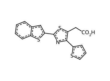 O=C(O)Cc1sc(-c2cc3ccccc3s2)nc1-c1cccs1